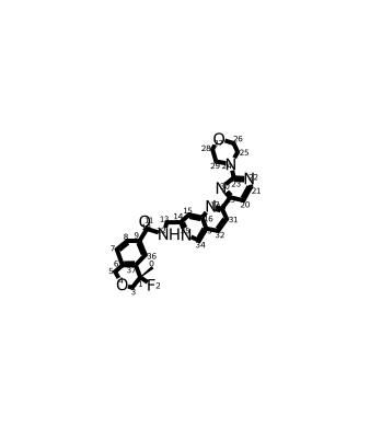 C[C@@]1(F)COCc2ccc(C(=O)NCc3cc4nc(-c5ccnc(N6CCOCC6)n5)ccc4cn3)cc21